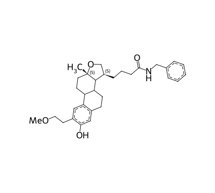 COCCc1cc2c(cc1O)CCC1C2CC[C@]2(C)OC[C@@H](CCCC(=O)NCc3ccccc3)C12